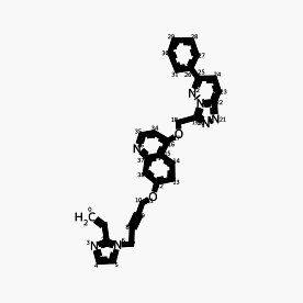 C=Cc1nccn1CC#CCOc1ccc2c(OCc3nnc4ccc(-c5ccccc5)nn34)ccnc2c1